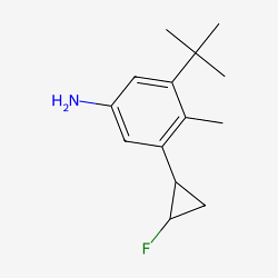 Cc1c(C2CC2F)cc(N)cc1C(C)(C)C